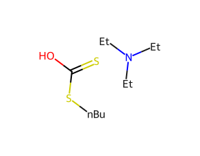 CCCCSC(O)=S.CCN(CC)CC